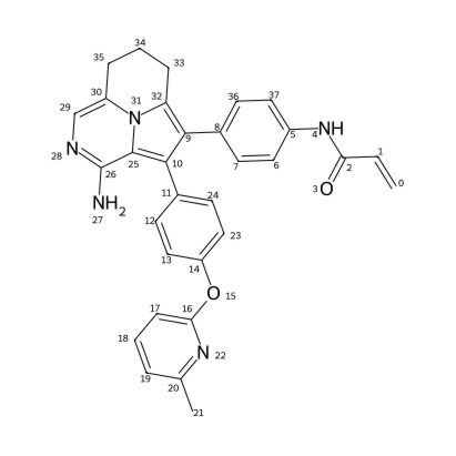 C=CC(=O)Nc1ccc(-c2c(-c3ccc(Oc4cccc(C)n4)cc3)c3c(N)ncc4n3c2CCC4)cc1